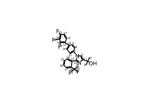 CC(C)(O)c1cn(-c2ccc(-c3ccc(F)c(F)c3F)cc2)c(-c2ccccc2C(F)(F)F)n1